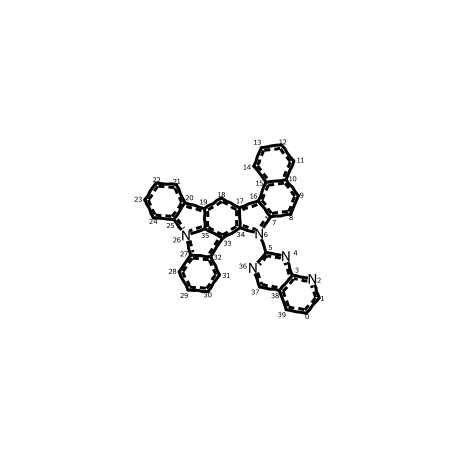 c1cnc2nc(-n3c4ccc5ccccc5c4c4cc5c6ccccc6n6c7ccccc7c(c43)c56)ncc2c1